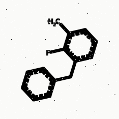 [CH2]c1cccc(Cc2ccccc2)c1F